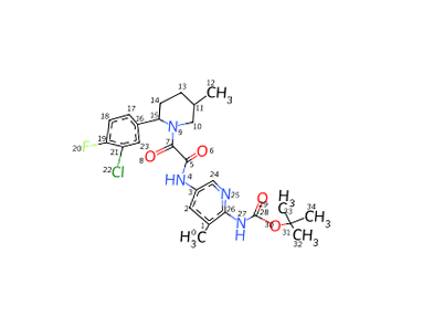 Cc1cc(NC(=O)C(=O)N2CC(C)CCC2c2ccc(F)c(Cl)c2)cnc1NC(=O)OC(C)(C)C